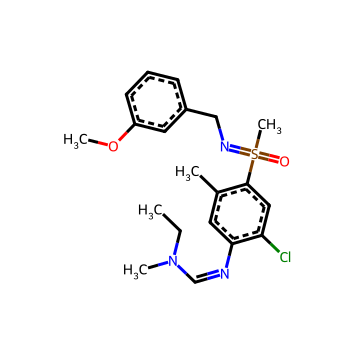 CCN(C)/C=N\c1cc(C)c(S(C)(=O)=NCc2cccc(OC)c2)cc1Cl